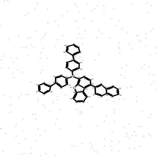 c1ccc(-c2ccc(N(c3ccc(-c4ccccc4)cc3)c3ccc(-c4ccc5ccccc5c4)c4c3oc3ccccc34)cc2)cc1